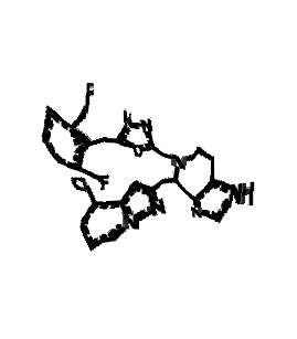 Fc1cccc(F)c1-c1nnc(N2CCc3[nH]cnc3C2c2cc3c(Cl)cccn3n2)o1